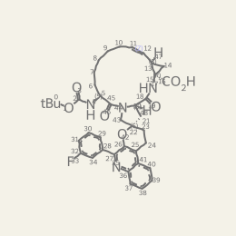 CC(C)(C)OC(=O)N[C@H]1CCCCC/C=C\[C@@H]2C[C@@]2(C(=O)O)NC(=O)[C@@H]2C[C@@]3(CCc4c(c(-c5cccc(F)c5)nc5ccccc45)O3)CN2C1=O